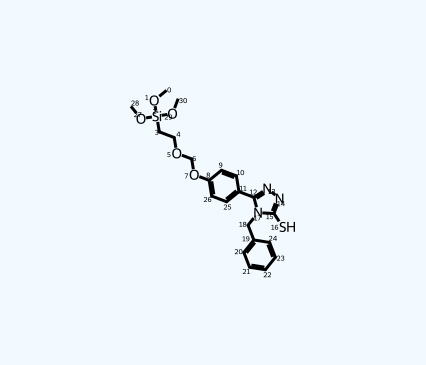 CO[Si](CCOCOc1ccc(-c2nnc(S)n2Cc2ccccc2)cc1)(OC)OC